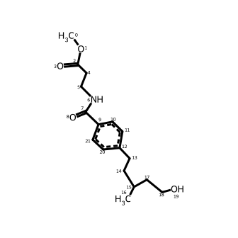 COC(=O)CCNC(=O)c1ccc(CCC(C)CCO)cc1